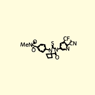 CNS(=O)(=O)c1ccc(N2C(=S)N(c3cnc(C#N)c(C(F)(F)F)c3)C(=O)C23CCC3)cc1